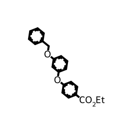 CCOC(=O)c1ccc(Oc2cccc(OCc3ccccc3)c2)cc1